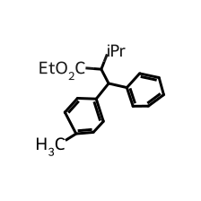 CCOC(=O)C(C(C)C)C(c1ccccc1)c1ccc(C)cc1